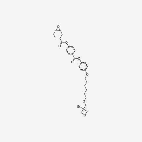 CCC1(COCCCCCCOc2ccc(OC(=O)c3ccc(OC(=O)C4CCC5OC5C4)cc3)cc2)COC1